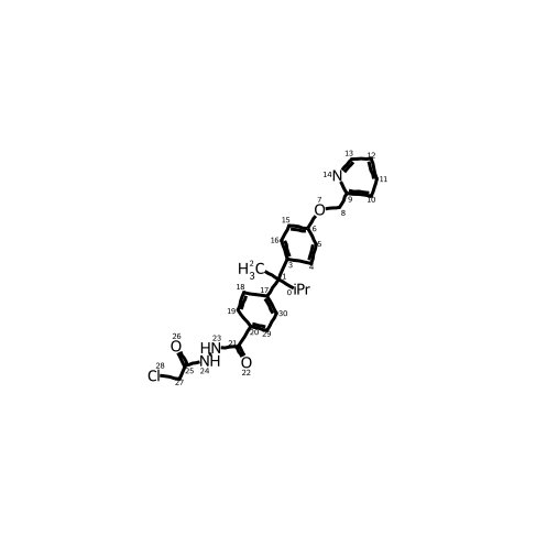 CC(C)C(C)(c1ccc(OCc2ccccn2)cc1)c1ccc(C(=O)NNC(=O)CCl)cc1